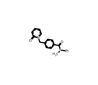 CC(C)N(C)C(=O)c1ccc(Cn2ccccc2=O)cc1